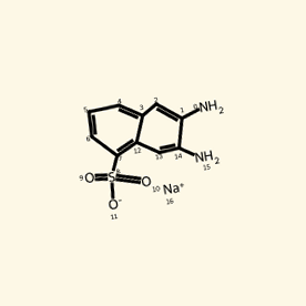 Nc1cc2cccc(S(=O)(=O)[O-])c2cc1N.[Na+]